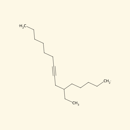 [CH2]CCCCCC#CCC(CC)CCCC[CH2]